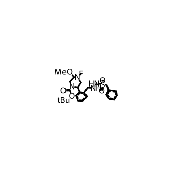 COC1CN(C(=O)OC(C)(C)C)C(c2ccccc2CNNS(=O)(=O)Cc2ccccc2)CN1F